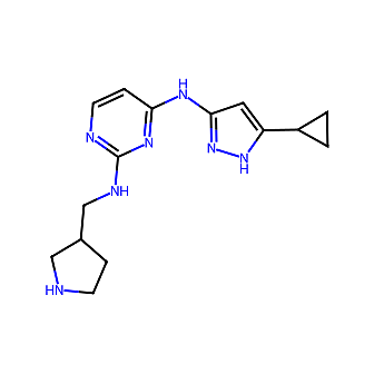 c1cc(Nc2cc(C3CC3)[nH]n2)nc(NCC2CCNC2)n1